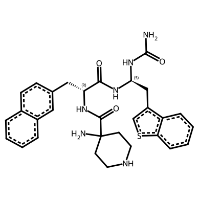 NC(=O)N[C@@H](Cc1csc2ccccc12)NC(=O)[C@@H](Cc1ccc2ccccc2c1)NC(=O)C1(N)CCNCC1